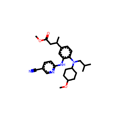 COC(=O)CC(C)c1ccc(N(CC(C)C)C2CCC(OC)CC2)c(Nc2ccc(C#N)cn2)c1